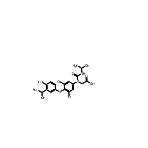 CC(C)NC(=O)N(CC(=O)O)c1cc(Cl)c(Oc2ccc(O)c(C(C)C)c2)c(Cl)c1